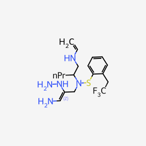 C=CNCC(CCC)N(C/C(=C/N)NN)Sc1ccccc1CC(F)(F)F